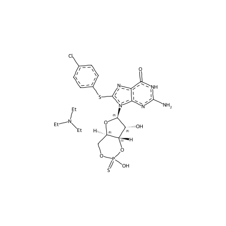 CCN(CC)CC.Nc1nc2c(nc(Sc3ccc(Cl)cc3)n2[C@@H]2O[C@@H]3COP(O)(=S)O[C@H]3[C@H]2O)c(=O)[nH]1